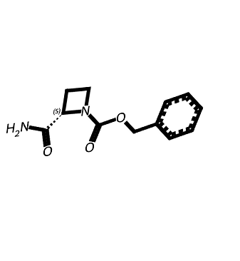 NC(=O)[C@@H]1CCN1C(=O)OCc1ccccc1